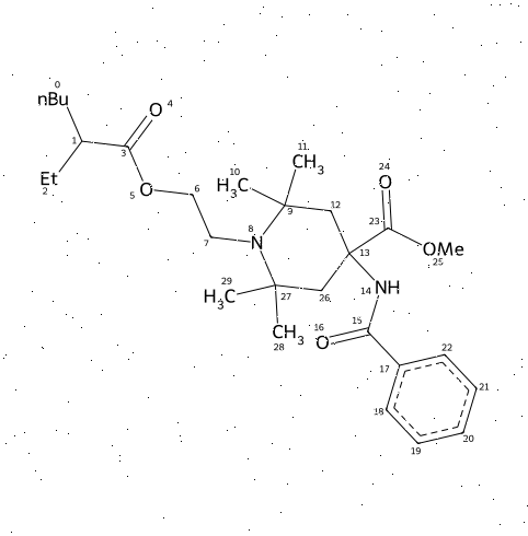 CCCCC(CC)C(=O)OCCN1C(C)(C)CC(NC(=O)c2ccccc2)(C(=O)OC)CC1(C)C